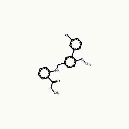 COC(=O)c1ccccc1NCc1ccc(OC)c(-c2cccc(Cl)c2)c1